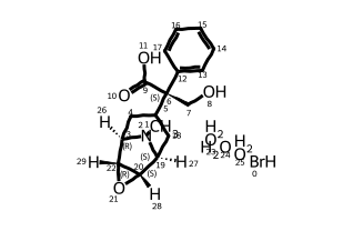 Br.CN1[C@@H]2CC([C@](CO)(C(=O)O)c3ccccc3)C[C@H]1[C@@H]1O[C@@H]12.O.O.O